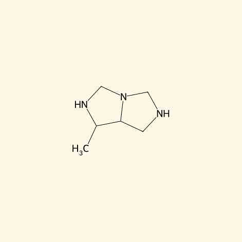 CC1NCN2CNCC12